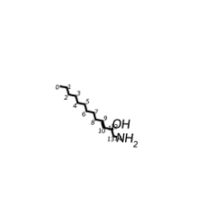 CCCCCCCCCC=CC(O)CN